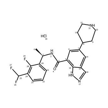 C[C@@H](NC(=O)c1cc(C2CCNCC2)cc2cn[nH]c12)c1cccc(C(F)F)c1F.Cl